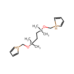 C[Si](C)(CC[Si](C)(C)OC[SH]1C=CC=C1)OC[SH]1C=CC=C1